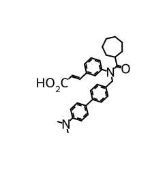 CN(C)c1ccc(-c2ccc(CN(C(=O)C3CCCCCC3)c3cccc(C=CC(=O)O)c3)cc2)cc1